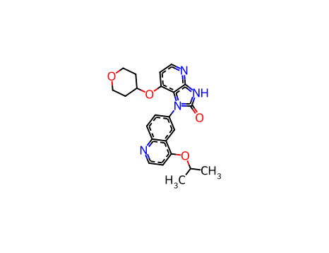 CC(C)Oc1ccnc2ccc(-n3c(=O)[nH]c4nccc(OC5CCOCC5)c43)cc12